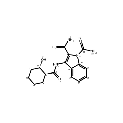 NC(=O)c1c(NC(=O)[C@H]2CCCC[C@@H]2O)c2ccccc2n1C(N)=O